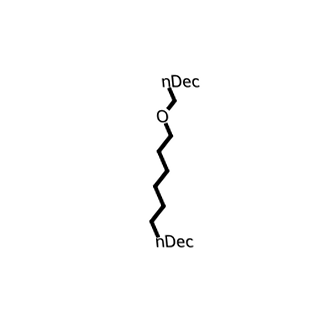 CCCCCCCCCCCCCCCCOCCCCCCCCCCC